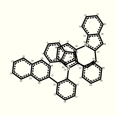 C(=C/c1cc2ccccc2n1-c1ccccc1-c1ccc2ccccc2c1)/c1cc2ccccc2n1-c1ccccc1-c1ccccc1